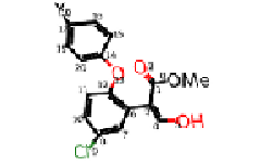 COC(=O)C(=CO)c1cc(Cl)ccc1Oc1cc[c]([Y])cc1